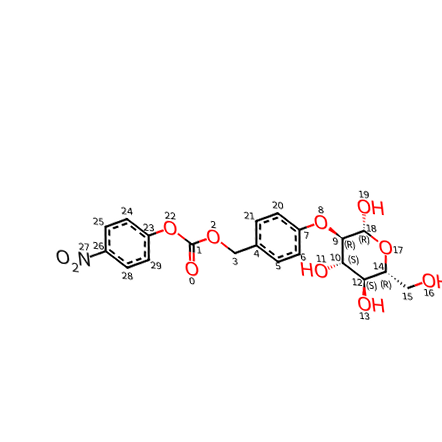 O=C(OCc1ccc(O[C@@H]2[C@@H](O)[C@H](O)[C@@H](CO)O[C@H]2O)cc1)Oc1ccc([N+](=O)[O-])cc1